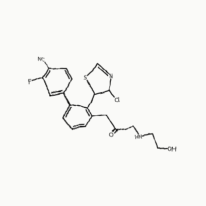 N#Cc1ccc(-c2cccc(CC(=O)CNCCO)c2C2SC=NC2Cl)cc1F